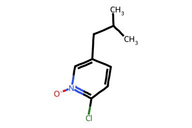 CC(C)Cc1ccc(Cl)[n+]([O-])c1